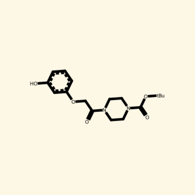 CC(C)(C)OC(=O)N1CCN(C(=O)COc2cccc(O)c2)CC1